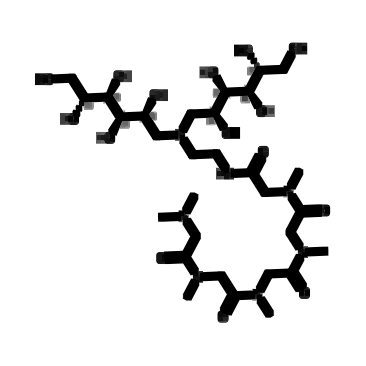 CN(C)CC(=O)N(C)CC(=O)N(C)CC(=O)N(C)CC(=O)N(C)CC(=O)NCCN(C[C@H](O)[C@@H](O)[C@H](O)[C@H](O)CO)C[C@H](O)[C@@H](O)[C@H](O)[C@H](O)CO